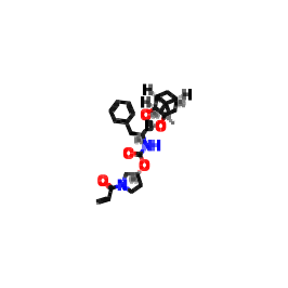 C=CC(=O)N1CC[C@@H](OC(=O)N[C@@H](Cc2ccccc2)B2O[C@H]3[C@H]4C[C@@H](C[C@@]3(C)O2)C4(C)C)C1